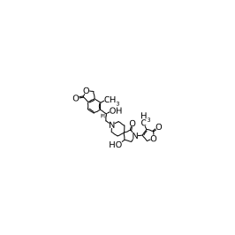 CC1=C(N2CC(O)C3(CCN(C[C@H](O)c4ccc5c(c4C)COC5=O)CC3)C2=O)COC1=O